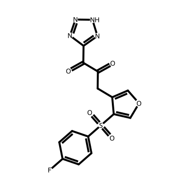 O=C(Cc1cocc1S(=O)(=O)c1ccc(F)cc1)C(=O)c1nn[nH]n1